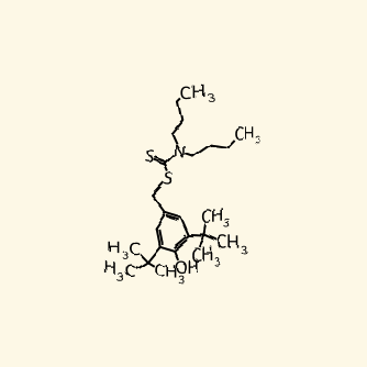 CCCCN(CCCC)C(=S)SCc1cc(C(C)(C)C)c(O)c(C(C)(C)C)c1